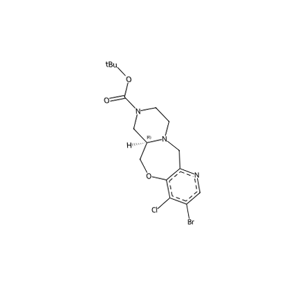 CC(C)(C)OC(=O)N1CCN2Cc3ncc(Br)c(Cl)c3OC[C@H]2C1